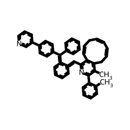 Cc1ccccc1-c1nc(/C=c2\cccc\c2=C(\c2ccccc2)c2ccc(-c3cccnc3)cc2)c2c(c1C)C/C=C\C=C/C/C=C\2